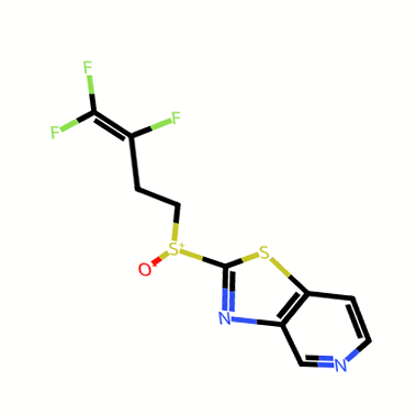 [O-][S+](CCC(F)=C(F)F)c1nc2cnccc2s1